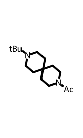 CC(=O)N1CCC2(CC1)CCN(C(C)(C)C)CC2